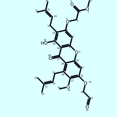 COC(=O)COc1cc2oc3cc(OCC=O)c(OC)c(CC=C(C)C)c3c(=O)c2c(O)c1CC=C(C)C